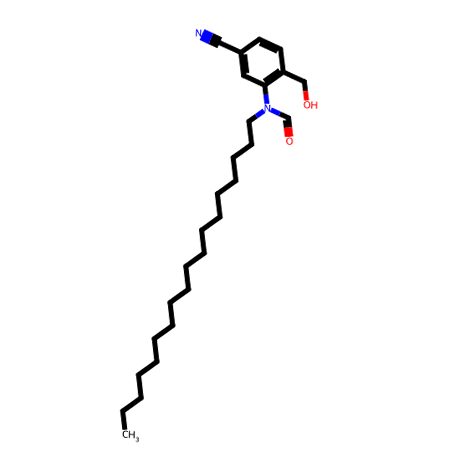 CCCCCCCCCCCCCCCCCCN(C=O)c1cc(C#N)ccc1CO